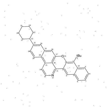 CC(C)(C)c1c2c(cc3ccccc13)-c1nccc3c1c(cc1cc(C4CCCCC4)ccc13)O2